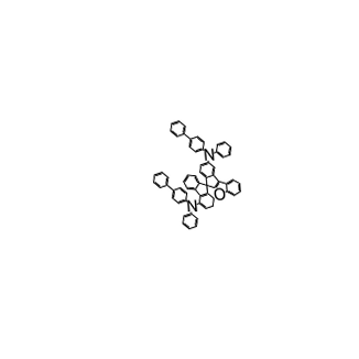 C1=C(N(c2ccccc2)c2ccc(-c3ccccc3)cc2)C2=C(CC1)C1(c3ccccc32)c2ccc(N(c3ccccc3)c3ccc(-c4ccccc4)cc3)cc2-c2c1oc1ccccc21